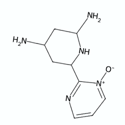 NC1CC(N)NC(c2nccc[n+]2[O-])C1